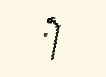 CCCCCCCCCCCCCCCCCC[N+](C)(C)CCOc1ccccc1CC.[Cl-]